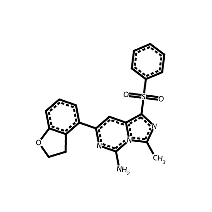 Cc1nc(S(=O)(=O)c2ccccc2)c2cc(-c3cccc4c3CCO4)nc(N)n12